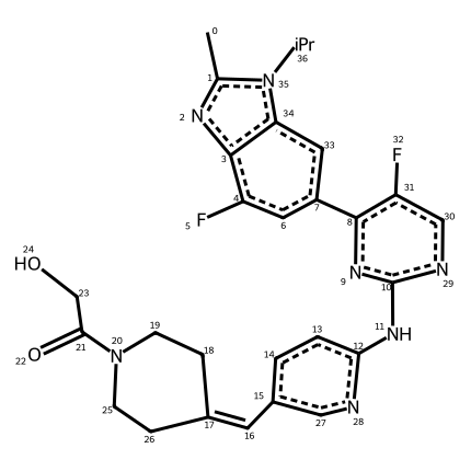 Cc1nc2c(F)cc(-c3nc(Nc4ccc(C=C5CCN(C(=O)CO)CC5)cn4)ncc3F)cc2n1C(C)C